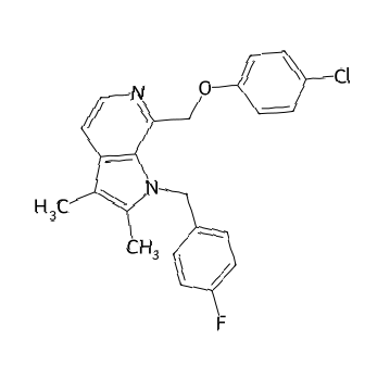 Cc1c(C)n(Cc2ccc(F)cc2)c2c(COc3ccc(Cl)cc3)nccc12